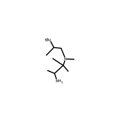 CC(CN(C)C(C)(C)C(C)N)C(C)(C)C